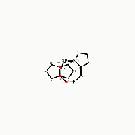 C1CC2CN3CC4CCCN4P(N2C1)N1CCCC1C3